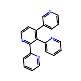 [c]1[c]c(-c2cccnc2)c(-c2ccccn2)c(-c2ccccn2)n1